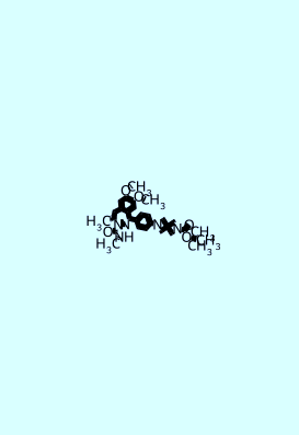 CNC(=O)N1N=C(c2ccc(N3CC4(CN(C(=O)OC(C)(C)C)C4)C3)cc2)c2cc(OC)c(OC)cc2C[C@@H]1C